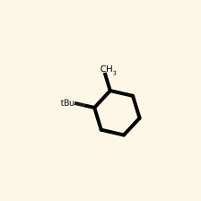 C[C]1CCCCC1C(C)(C)C